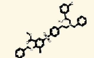 COC(=O)c1cc(S(=O)(=O)c2ccc(CCN(Cc3ccccc3)C[C@H](O)c3cccc(Cl)c3)cc2)cc(C)c1OCc1ccccc1